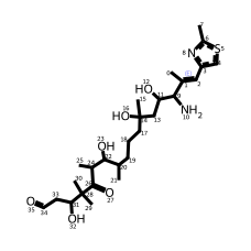 C/C(=C\c1csc(C)n1)C(N)C(O)CC(C)(O)CCCC(C)C(O)C(C)C(=O)C(C)(C)C(O)CC=O